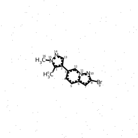 Cc1c(-c2ccc3cc(Br)nn3c2)cnn1C